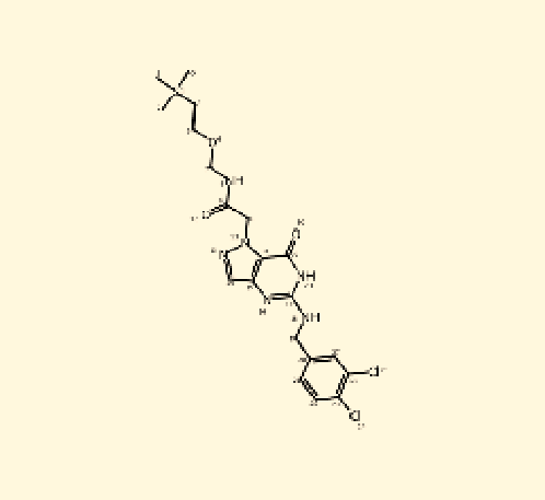 CS(C)(C)CCOCNC(=O)Cn1ncc2nc(NCc3ccc(Cl)c(Cl)c3)[nH]c(=O)c21